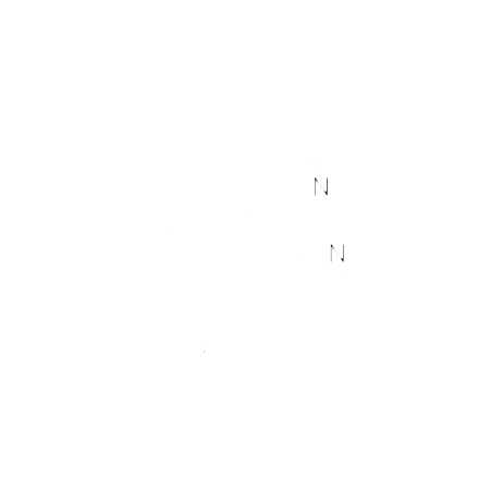 C1=Cc2ccccc21.N#N